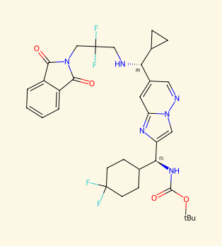 CC(C)(C)OC(=O)N[C@H](c1cn2ncc([C@H](NCC(F)(F)CN3C(=O)c4ccccc4C3=O)C3CC3)cc2n1)C1CCC(F)(F)CC1